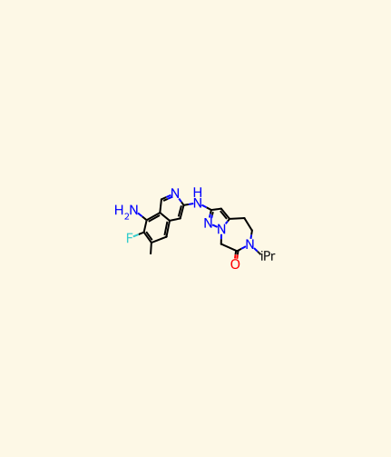 Cc1cc2cc(Nc3cc4n(n3)CC(=O)N(C(C)C)CC4)ncc2c(N)c1F